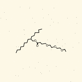 CCCCCCCCC(CCCCCC)COC(=O)CCCOCCOCCOCC